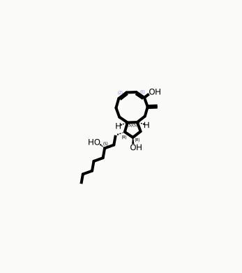 C=C1C[C@H]2C[C@@H](O)[C@H](CC[C@@H](O)CCCCC)[C@H]2CC/C=C\C=C/1O